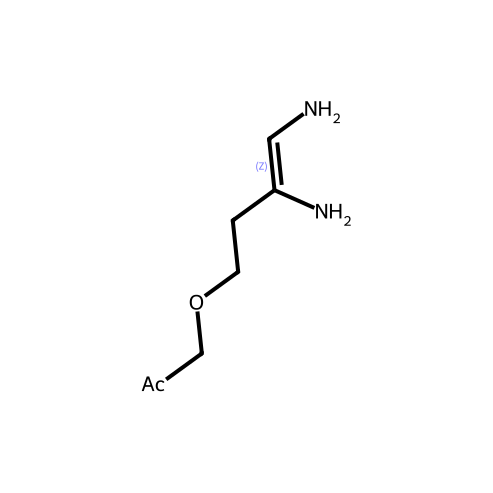 CC(=O)COCC/C(N)=C/N